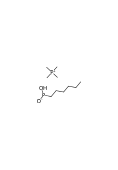 CCCCCCP([O-])O.C[P+](C)(C)C